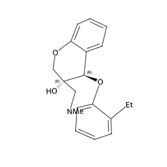 CCc1ccccc1O[C@@H]1c2ccccc2OC[C@]1(O)CNC